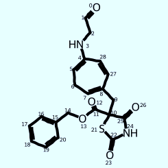 O=CCNC1=CCC=C(CC2(C(=O)OCc3ccccc3)SC(=O)NC2=O)C=C1